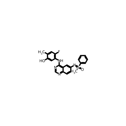 Cc1cc(F)c(Nc2ncnc3ccc(N=[S@](C)(=O)c4ccccc4)cc23)cc1O